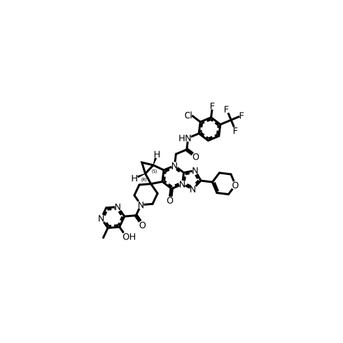 Cc1ncnc(C(=O)N2CCC3(CC2)c2c(n(CC(=O)Nc4ccc(C(F)(F)F)c(F)c4Cl)c4nc(C5=CCOCC5)nn4c2=O)[C@H]2C[C@H]23)c1O